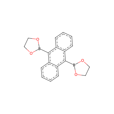 c1ccc2c(B3OCCO3)c3ccccc3c(B3OCCO3)c2c1